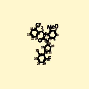 COc1cccc2c1n(Cc1ccccc1C(F)(F)F)c(=O)n2C1CCN(c2c(C)cccc2F)C1